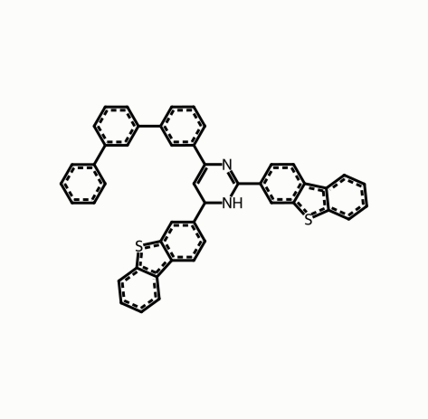 C1=C(c2cccc(-c3cccc(-c4ccccc4)c3)c2)N=C(c2ccc3c(c2)sc2ccccc23)NC1c1ccc2c(c1)sc1ccccc12